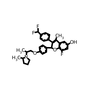 CC1=C(c2ccc(C(F)F)cc2)C(c2ccc(OCC(C)N3CCCC3C)cc2)Oc2c(F)cc(O)cc21